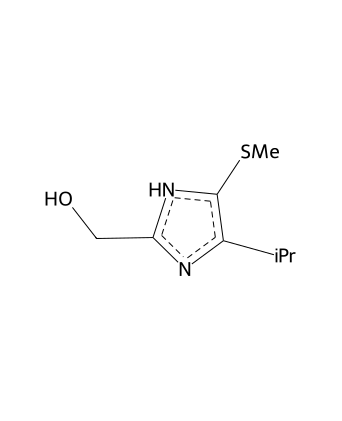 CSc1[nH]c(CO)nc1C(C)C